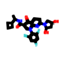 CC(NC(=O)c1cn(-c2c(F)cc(F)cc2F)c2nc(N3C[C@@H](O)CC3O)ccc2c1=O)C1CCC1